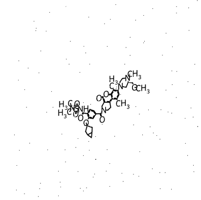 COC[C@H]1CN(c2cc(C)c3c4c(c(=O)oc3c2C)CN(C(=O)c2ccc(C(=O)NS(=O)(=O)N(C)C)c(OC3CC5CC5C3)c2)CC4)CCN1C